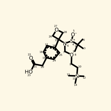 CC(C)(C)[S+]([O-])N(COCC[Si](C)(C)C)C1(c2ccc(CC(=O)O)cc2)COC1